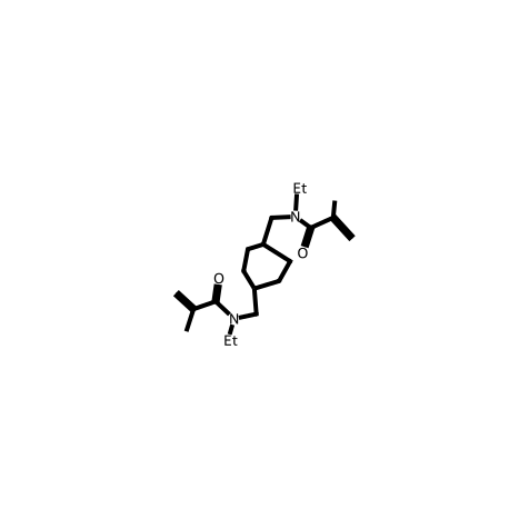 C=C(C)C(=O)N(CC)CC1CCC(CN(CC)C(=O)C(=C)C)CC1